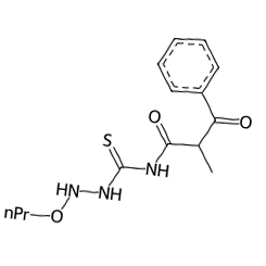 CCCONNC(=S)NC(=O)C(C)C(=O)c1ccccc1